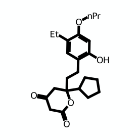 CCCOc1cc(O)c(CCC2(C3CCCC3)CC(=O)CC(=O)O2)cc1CC